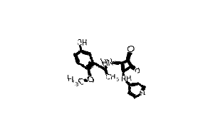 COc1ccc(O)cc1C(C)Nc1c(Nc2ccncc2)c(=O)c1=O